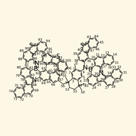 Cc1cc2c(cc1N1B3c4c(cc5ccccc5c4-n4c5c3cccc5c3ccc5ccccc5c34)-c3c1ccc1sc4ccccc4c31)C(C)(C)CCC2(C)Cc1ccc2c3c4c(cc2c1)-n1c2ccc5ccccc5c2c2cccc(c21)B4N(c1cccc2sc4ccccc4c12)c1ccc2sc4ccccc4c2c1-3